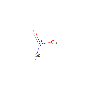 O=[N+]([O-])[Sc]